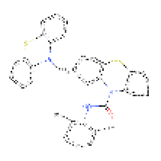 CC(C)c1cccc(C(C)C)c1NC(=O)N1c2ccccc2Sc2ccccc21.O=C(O)N1c2ccccc2Sc2ccccc21